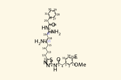 COc1cc(CC(=O)Nc2nnc(CCCC/C(N)=C/C=C(\N)NC(=O)Cc3ccccc3)s2)ccc1F